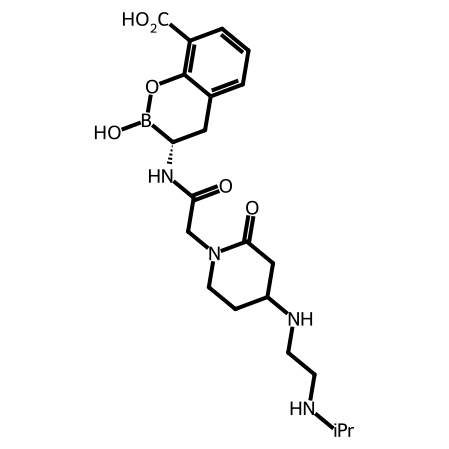 CC(C)NCCNC1CCN(CC(=O)N[C@H]2Cc3cccc(C(=O)O)c3OB2O)C(=O)C1